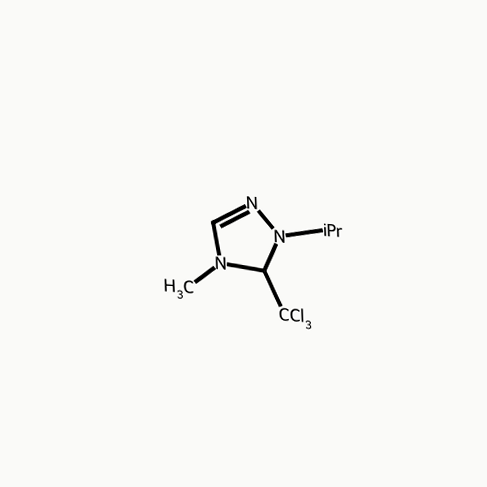 CC(C)N1N=CN(C)C1C(Cl)(Cl)Cl